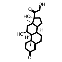 C[C@]12CCC(=O)C=C1CC[C@@H]1C3CC[C@](O)(C(=O)CO)[C@]3(C)C[C@H](O)[C@@H]12